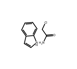 NC(=O)CCl.c1ccc2[nH]ccc2c1